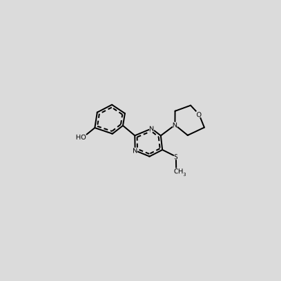 CSc1cnc(-c2cccc(O)c2)nc1N1CCOCC1